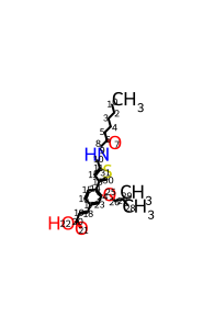 CCCCCCC(=O)CNCc1cc(-c2ccc(C=CC(=O)O)cc2OCC(C)C)cs1